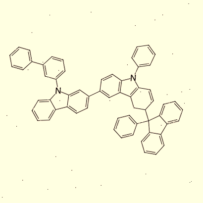 C1=CC(C2(c3ccccc3)c3ccccc3-c3ccccc32)Cc2c1n(-c1ccccc1)c1ccc(-c3ccc4c5ccccc5n(-c5cccc(-c6ccccc6)c5)c4c3)cc21